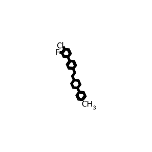 Cc1ccc(C2CCC(CCc3ccc(-c4ccc(Cl)c(F)c4)cc3)CC2)cc1